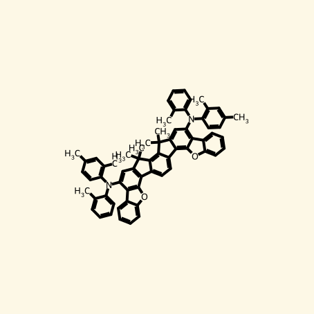 Cc1ccc(N(c2ccccc2C)c2cc3c(c4oc5ccccc5c24)-c2ccc4c(c2C3(C)C)C(C)(C)c2cc(N(c3ccccc3C)c3ccc(C)cc3C)c3c(oc5ccccc53)c2-4)c(C)c1